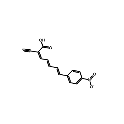 N#CC(=CC=CC=Cc1ccc([N+](=O)[O-])cc1)C(=O)O